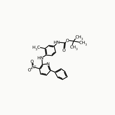 Cc1cc(NC(=O)OC(C)(C)C)ccc1Nc1nc(-c2ccccc2)ccc1[N+](=O)[O-]